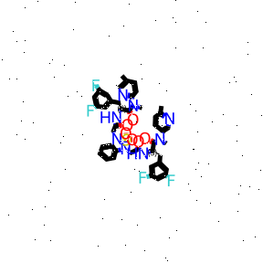 Cc1ccc(N(C)C(=O)[C@H](Cc2cc(F)cc(F)c2)NC(=O)CN2c3ccccc3N(CC(=O)N[C@@H](Cc3cc(F)cc(F)c3)C(=O)N(C)c3ccc(C)nc3)S2(=O)=O)nc1